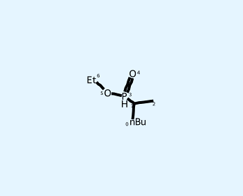 CCCCC(C)[PH](=O)OCC